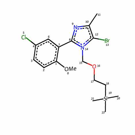 COc1ccc(Cl)cc1-c1nc(C)c(Br)n1COCC[Si](C)(C)C